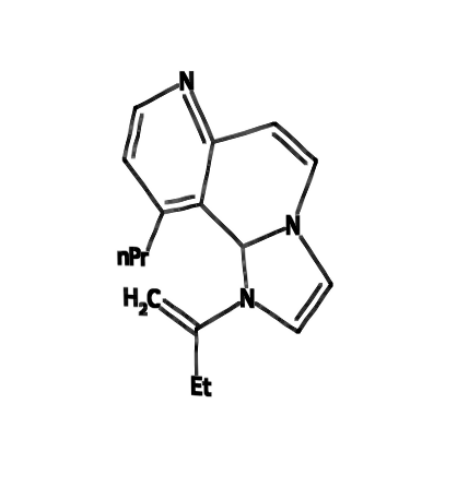 C=C(CC)N1C=CN2C=Cc3nccc(CCC)c3C21